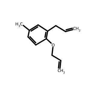 C=CCOc1ccc(C)cc1CC=C